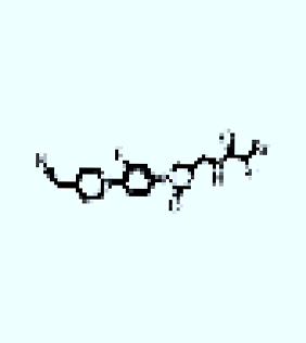 N#CC=C1CCN(c2ccc(N3CC(CNC(=O)C(Br)Br)OC3=O)cc2F)CC1